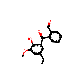 CCc1cc(OC)c(O)c(C(=O)c2ccccc2C=O)c1